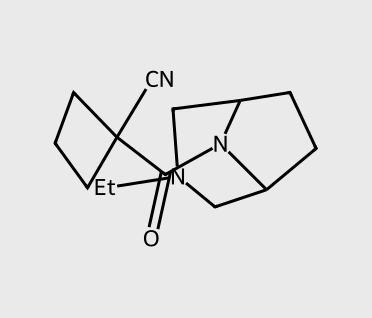 CCN1CC2CCC(C1)N2C(=O)C1(C#N)CCC1